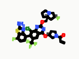 C=CC(=O)N1CC[C@@H](Oc2nc(OC[C@@]34CCCN3C[C@H](F)C4)nc3c(Cl)c(-c4ccc(F)c5sc(N)nc45)c(C(F)(F)F)cc23)C1